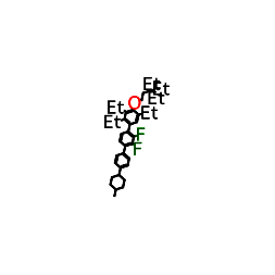 CCc1cc(-c2ccc(-c3ccc(C4CCC(C)CC4)cc3)c(F)c2F)c(CC)c(CC)c1OCCC(CC)(CC)CC